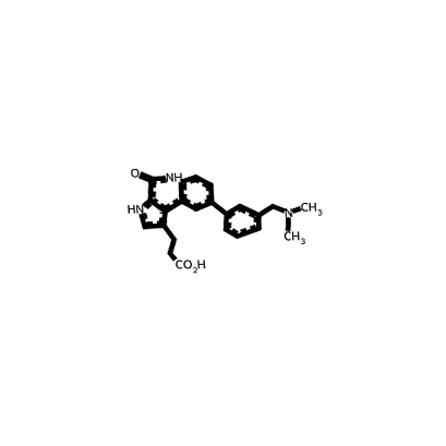 CN(C)Cc1cccc(-c2ccc3[nH]c(=O)c4[nH]cc(CCC(=O)O)c4c3c2)c1